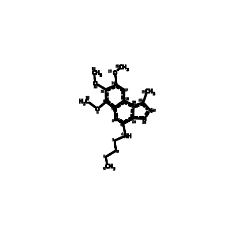 CCCCNc1nc2c(OC)c(OC)c(OC)cc2n2c(C)nnc12